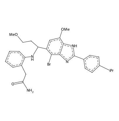 COCCC(Nc1ccccc1CC(N)=O)c1cc(OC)c2[nH]c(-c3ccc(C(C)C)cc3)nc2c1Br